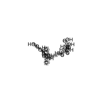 O=C(O)CCC(NC(=O)NC(CCC(=O)NCCCCCCCC(=O)N[C@@H](Cc1ccccc1)C(=O)N[C@@H](Cc1ccccc1)C(=O)NCCOCCOCCO)C(=O)O)C(=O)O